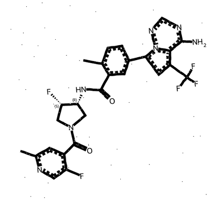 Cc1cc(C(=O)N2C[C@H](F)[C@H](NC(=O)c3cc(-c4cc(C(F)(F)F)c5c(N)ncnn45)ccc3C)C2)c(F)cn1